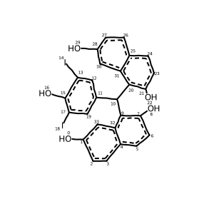 Oc1ccc2ccc(O)c(C(c3cc(I)c(O)c(I)c3)c3c(O)ccc4ccc(O)cc34)c2c1